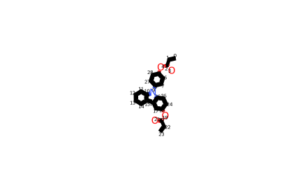 C=CC(=O)Oc1ccc(-n2c3ccccc3c3cc(OC(=O)C=C)ccc32)cc1